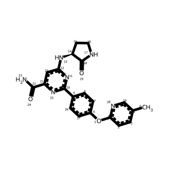 Cc1ccc(Oc2ccc(-c3nc(N[C@H]4CCNC4=O)cc(C(N)=O)n3)cc2)nc1